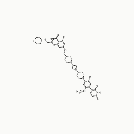 COc1cc(N2CCC(N3CC(N4CCC(COc5cc(F)c6c(=O)[nH]c(CSC7CCOCC7)nc6c5)CC4)C3)CC2)c(F)cc1-n1ccc(=O)[nH]c1=O